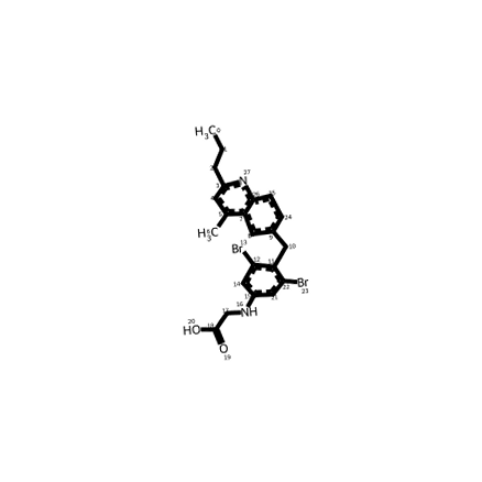 CCCc1cc(C)c2cc(Cc3c(Br)cc(NCC(=O)O)cc3Br)ccc2n1